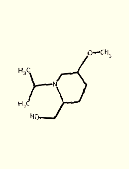 COC1CCC(CO)N(C(C)C)C1